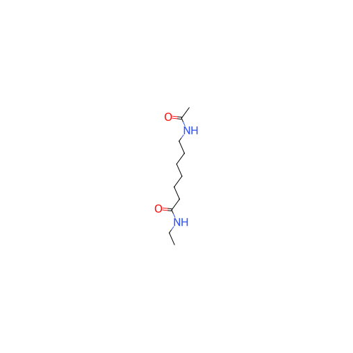 CCNC(=O)CCCCCCNC(C)=O